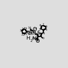 Cc1c(Cc2ccccc2)sc(NC(=O)C(C)Oc2ccccc2)c1C(N)=O